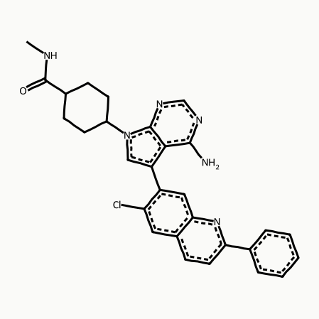 CNC(=O)C1CCC(n2cc(-c3cc4nc(-c5ccccc5)ccc4cc3Cl)c3c(N)ncnc32)CC1